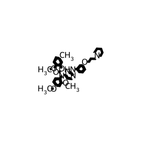 COc1ccc(N(C(=O)Oc2cc(C)ccc2OC)c2ccnc(Nc3cccc(OCCCN4CCCCC4)c3)n2)c(OC)c1